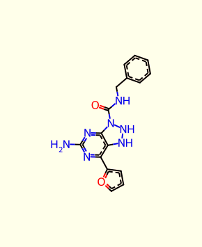 Nc1nc(-c2ccco2)c2c(n1)N(C(=O)NCc1ccccc1)NN2